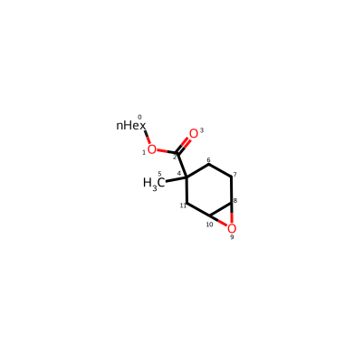 CCCCCCOC(=O)C1(C)CCC2OC2C1